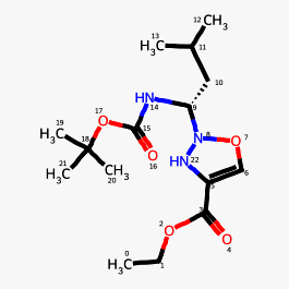 CCOC(=O)C1=CON([C@@H](CC(C)C)NC(=O)OC(C)(C)C)N1